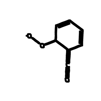 [O]OC1C=CC=CC1=C=O